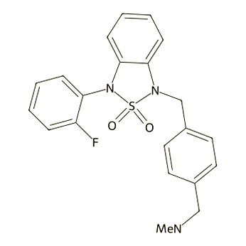 CNCc1ccc(CN2c3ccccc3N(c3ccccc3F)S2(=O)=O)cc1